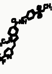 CCn1c(Cc2ccc(C(F)(F)F)nc2)cc2cc(C(=O)NCc3ccc(S(=O)(=O)CC)cc3)ccc21